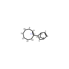 C1=CC2CC1CC2/C1=C/CCCCCC1